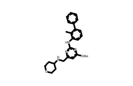 COc1cc(CNC2CCOCC2)nc(Nc2cccc(-c3ccccc3)c2C)n1